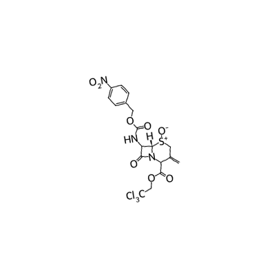 C=C1C[S+]([O-])[C@H]2C(NC(=O)OCc3ccc([N+](=O)[O-])cc3)C(=O)N2C1C(=O)OCC(Cl)(Cl)Cl